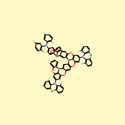 Fc1ccc(F)c(N(c2cc3c4c(c2)Oc2cc5c(cc2B4c2ccccc2O3)B2c3cc4c(cc3Oc3cc(N(c6c(F)cccc6F)c6c(F)cccc6F)cc(c32)O5)Oc2cc(N(c3c(F)cccc3F)c3c(F)cccc3F)cc3c2B4c2ccccc2O3)c2cc(F)ccc2F)c1